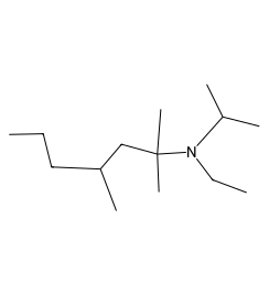 CCCC(C)CC(C)(C)N(CC)C(C)C